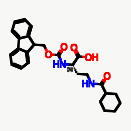 O=C(N[C@@H](CCNC(=O)C1CCCCC1)C(=O)O)OCC1c2ccccc2-c2ccccc21